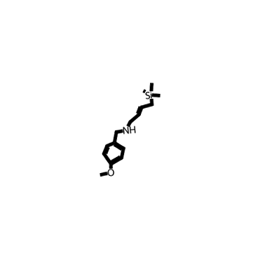 COc1ccc(CNC/C=C/C[Si](C)(C)C)cc1